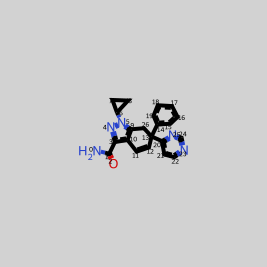 NC(=O)c1nn(C2CC2)c2c1C=CC(c1ccccc1)(c1ccncn1)C2